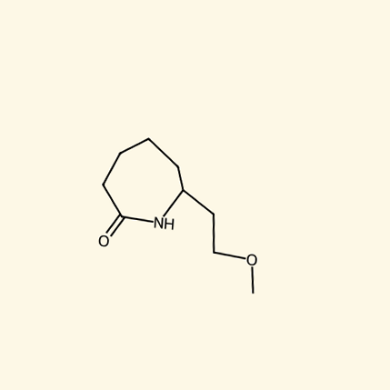 COCCC1CCCCC(=O)N1